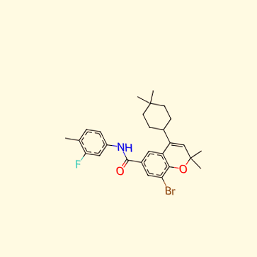 Cc1ccc(NC(=O)c2cc(Br)c3c(c2)C(C2CCC(C)(C)CC2)=CC(C)(C)O3)cc1F